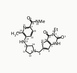 CCn1c(=O)[nH]c2cc(CN3CCC(Nc4ccc(C(=O)NC)nc4C)C3)sc2c1=O